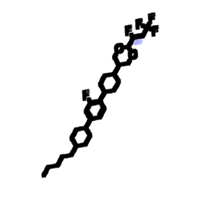 CCCCCC1CCC(c2ccc(C3CCC(C4COC(/C(F)=C/C(F)(F)F)OC4)CC3)c(F)c2)CC1